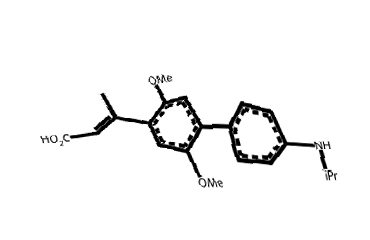 COc1cc(-c2ccc(NC(C)C)cc2)c(OC)cc1/C(C)=C/C(=O)O